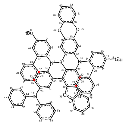 CC(C)(C)c1ccc(N2B3c4cc5c(cc4N(c4ccc(C(C)(C)C)cc4-c4ccccc4)c4cc6c(oc7ccccc76)c(c43)-c3cc(N(c4ccccc4)c4ccccc4)ccc32)Oc2ccccc2O5)c(-c2ccccc2)c1